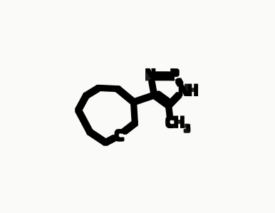 Cc1[nH]pnc1C1CCCCCCCC1